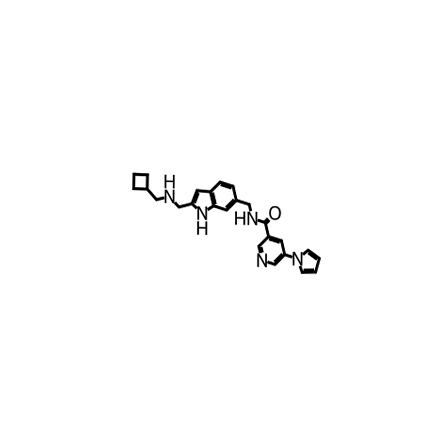 O=C(NCc1ccc2cc(CNCC3CCC3)[nH]c2c1)c1cncc(-n2cccc2)c1